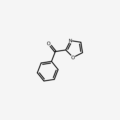 O=C(c1ccccc1)c1ncco1